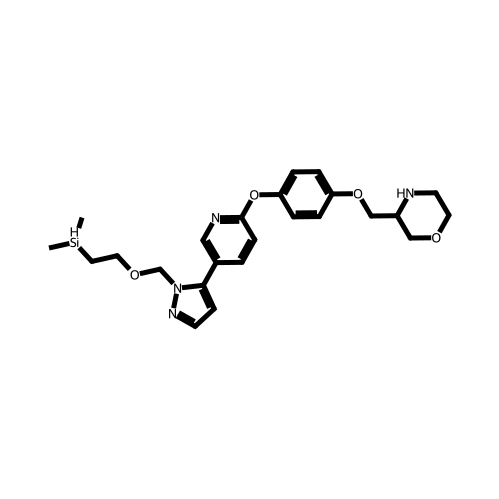 C[SiH](C)CCOCn1nccc1-c1ccc(Oc2ccc(OCC3COCCN3)cc2)nc1